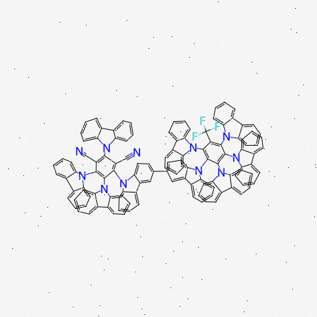 N#Cc1c(-n2c3ccccc3c3ccccc32)c(C#N)c(-n2c3ccccc3c3cc(-c4ccc5c(c4)c4ccccc4n5-c4c(-n5c6ccccc6c6ccccc65)c(-n5c6ccccc6c6ccccc65)c(-n5c6ccccc6c6ccccc65)c(C(F)(F)F)c4-n4c5ccccc5c5ccccc54)ccc32)c(-n2c3ccccc3c3ccccc32)c1-n1c2ccccc2c2ccccc21